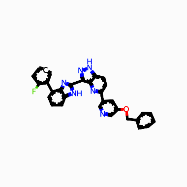 Fc1ccccc1-c1cccc2[nH]c(-c3n[nH]c4ccc(-c5cncc(OCc6ccccc6)c5)nc34)nc12